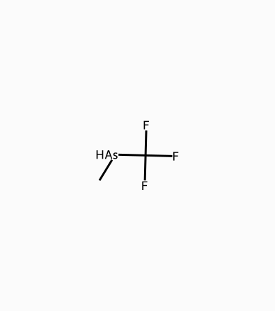 C[AsH]C(F)(F)F